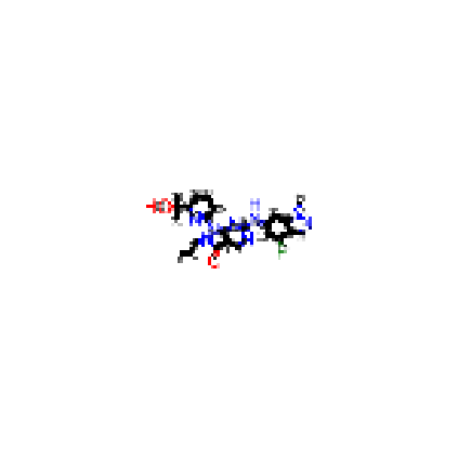 C=CCn1c(=O)c2cnc(Nc3cc(F)c4cnn(C)c4c3)nc2n1-c1cccc(C(C)(C)O)n1